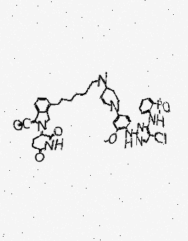 COc1cc(N2CCC(N(C)CCCCCCc3cccc4c3CN(C3CCC(=O)NC3=O)C4=C=O)CC2)ccc1Nc1ncc(Cl)c(Nc2ccccc2P(C)(C)=O)n1